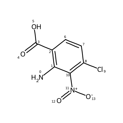 Nc1c(C(=O)O)ccc(Cl)c1[N+](=O)[O-]